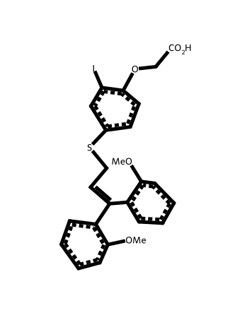 COc1ccccc1C(=CCSc1ccc(OCC(=O)O)c(I)c1)c1ccccc1OC